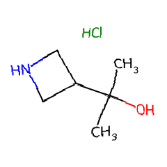 CC(C)(O)C1CNC1.Cl